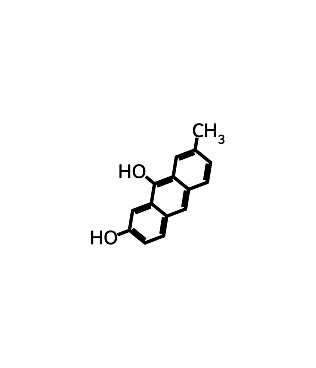 Cc1ccc2cc3ccc(O)cc3c(O)c2c1